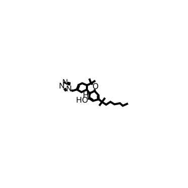 CCCCCCC(C)(C)C1=CC2OC(C)(C)C3CC=C(Cn4cnnc4)CC3[C@@H]2C(O)=C1